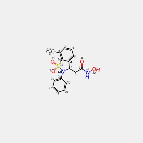 O=C(CC1c2cccc(C(F)(F)F)c2S(=O)(=O)N1c1ccccc1)NO